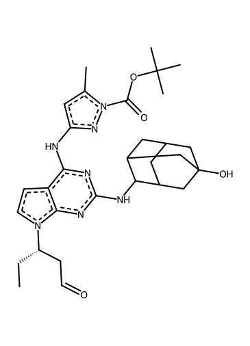 CC[C@@H](CC=O)n1ccc2c(Nc3cc(C)n(C(=O)OC(C)(C)C)n3)nc(NC3C4CC5CC3CC(O)(C5)C4)nc21